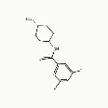 O=C(N[C@H]1CC[C@@H]([SiH3])CC1)c1cc(F)cc(F)c1